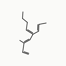 C=CC(C)=CC(C=CC)=CCCC